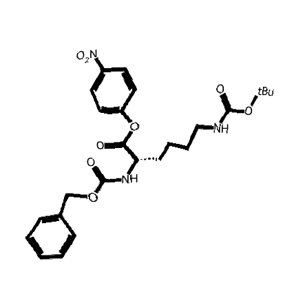 CC(C)(C)OC(=O)NCCCC[C@H](NC(=O)OCc1ccccc1)C(=O)Oc1ccc([N+](=O)[O-])cc1